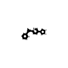 c1ccc(C2CC2c2ccc(C3CCCC3)cn2)cc1